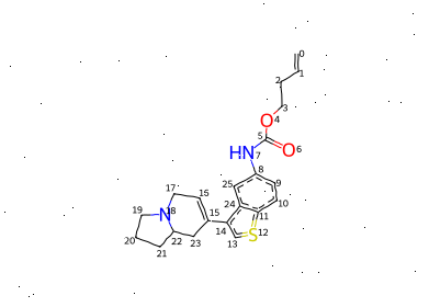 C=CCCOC(=O)Nc1ccc2scc(C3=CCN4CCCC4C3)c2c1